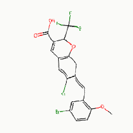 COc1ccc(Br)cc1C=C1CC2=C(C=C1Cl)C=C(C(=O)O)C(C(F)(F)F)O2